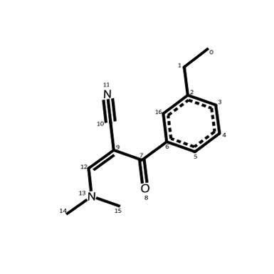 CCc1cccc(C(=O)/C(C#N)=C\N(C)C)c1